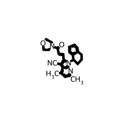 Cc1cc(C)c2c(C#N)c(/C=C/C(=O)N3CCOCC3)n(C3CCCc4ccccc43)c2n1